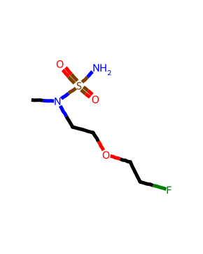 CN(CCOCCF)S(N)(=O)=O